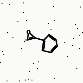 [C]1=C(c2ccccc2)O1